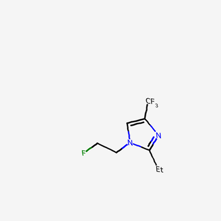 CCc1nc(C(F)(F)F)cn1CCF